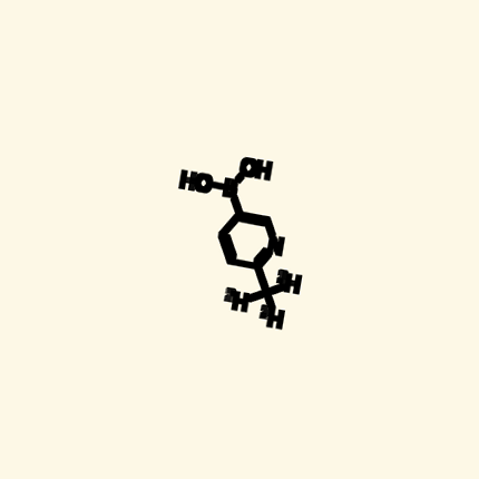 [2H]C([2H])([2H])c1ccc(B(O)O)cn1